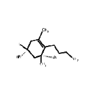 CCC[C@]1(I)CC(C)=C(CCCN)[C@](C)(CCC)C1